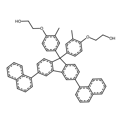 Cc1cc(C2(c3ccc(OCCO)c(C)c3)c3ccc(-c4cccc5ccccc45)cc3-c3cc(-c4cccc5ccccc45)ccc32)ccc1OCCO